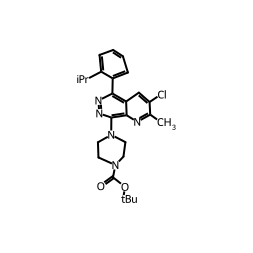 Cc1nc2c(N3CCN(C(=O)OC(C)(C)C)CC3)nnc(-c3ccccc3C(C)C)c2cc1Cl